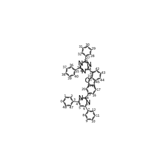 c1ccc(-c2cc(-c3ccccc3)nc(-c3ccc4c(c3)oc3c(-c5nc(-c6ccccc6)nc(-c6ccccc6)n5)cccc34)n2)cc1